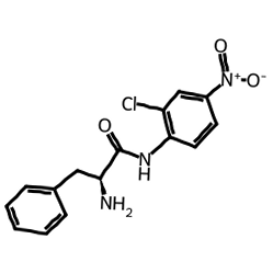 N[C@@H](Cc1ccccc1)C(=O)Nc1ccc([N+](=O)[O-])cc1Cl